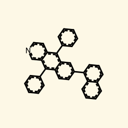 c1ccc(-c2c3ccc(-c4cccc5ccccc45)cc3c(-c3ccccc3)c3ccncc23)cc1